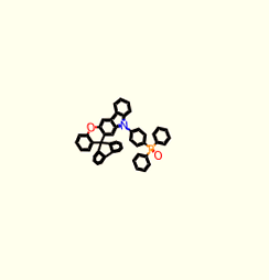 O=P(c1ccccc1)(c1ccccc1)c1ccc(-n2c3ccccc3c3cc4c(cc32)C2(c3ccccc3O4)c3ccccc3-c3ccccc32)cc1